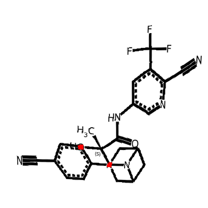 C[C@](O)(CN1C2CC1CN(c1ccc(C#N)cc1)C2)C(=O)Nc1cnc(C#N)c(C(F)(F)F)c1